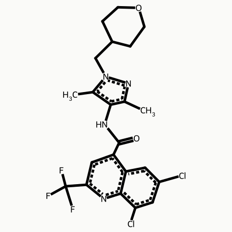 Cc1nn(CC2CCOCC2)c(C)c1NC(=O)c1cc(C(F)(F)F)nc2c(Cl)cc(Cl)cc12